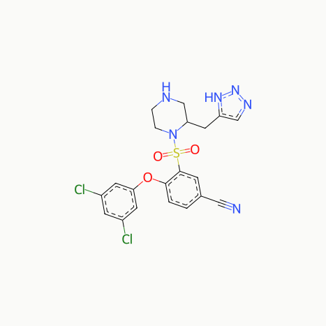 N#Cc1ccc(Oc2cc(Cl)cc(Cl)c2)c(S(=O)(=O)N2CCNCC2Cc2cnn[nH]2)c1